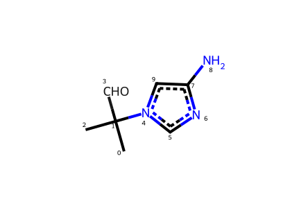 CC(C)(C=O)n1cnc(N)c1